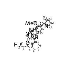 C=CC(=O)CC1CCCCC(c2nc(-c3ccc(Oc4ncccc4F)c(OC)c3)n3c(N)nccc23)C1